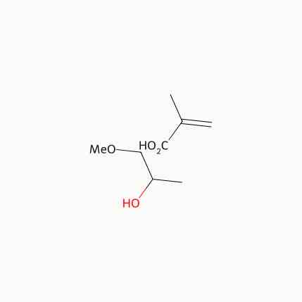 C=C(C)C(=O)O.COCC(C)O